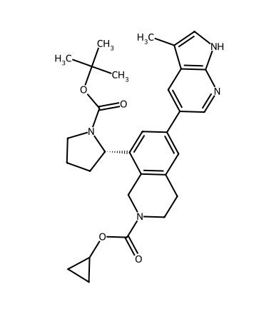 Cc1c[nH]c2ncc(-c3cc4c(c([C@@H]5CCCN5C(=O)OC(C)(C)C)c3)CN(C(=O)OC3CC3)CC4)cc12